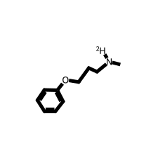 [2H]N(C)CCCOc1ccccc1